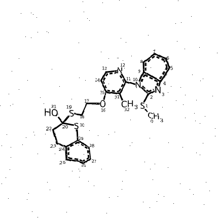 CSc1nc2ccccc2n1-c1nccc(OCCSC2(O)CCc3ccccc3S2)c1C